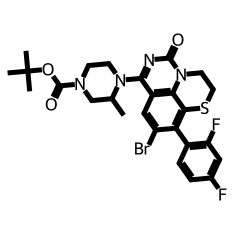 CC1CN(C(=O)OC(C)(C)C)CCN1c1nc(=O)n2c3c(c(-c4ccc(F)cc4F)c(Br)cc13)SCC2